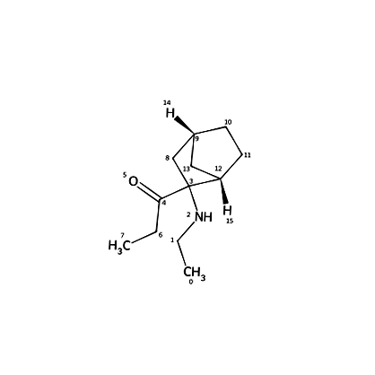 CCNC1(C(=O)CC)C[C@@H]2CC[C@H]1C2